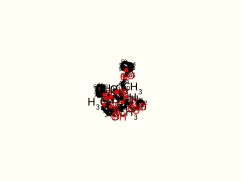 CCC(CC(C)(CC(C)(CC(C)(C)C(=O)OC12CC3CC(CC(O)(C3)C1)C2)C(=O)OC1CCOC1=O)C(=O)OC(C)(C)CCOC(=O)C12CC3CC(CC(C3)C1)C2)C(=O)OC1(C(C)C)C2CC3CC(C2)CC1C3